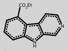 CCOC(=O)c1cccc2[nH]c3cnccc3c12